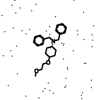 COCCO[C@H]1CC[C@H](N(Cc2ccccc2)Cc2ccccc2)CC1